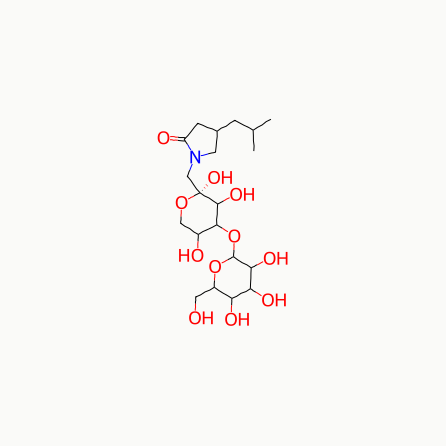 CC(C)CC1CC(=O)N(C[C@]2(O)OCC(O)C(OC3OC(CO)C(O)C(O)C3O)C2O)C1